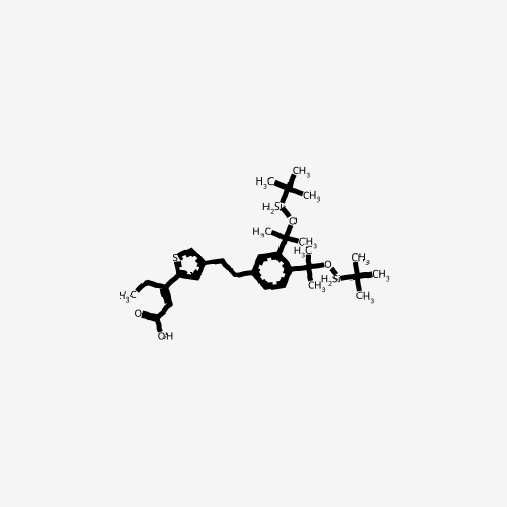 CCC(=CC(=O)O)c1cc(CCc2ccc(C(C)(C)O[SiH2]C(C)(C)C)c(C(C)(C)O[SiH2]C(C)(C)C)c2)cs1